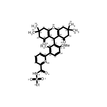 CCS(=O)(=O)NC(=O)c1cccc(-c2ccc(OC)c(C3C4=C(CC(C)(C)CC4=O)OC4=C3C(=O)CC(C)(C)C4)c2C)n1